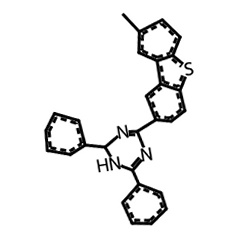 Cc1ccc2sc3ccc(C4=NC(c5ccccc5)NC(c5ccccc5)=N4)cc3c2c1